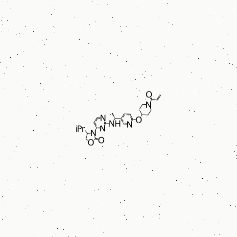 C=CC(=O)N1CCC(Oc2ccc([C@H](C)Nc3nccc(N4C(=O)OCC4C(C)C)n3)cn2)CC1